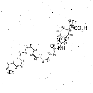 CC/C=C\C/C=C\C/C=C\C/C=C\C/C=C\C/C=C\CCC(=O)Nc1nc2c(s1)C[C@H](N(CCC)C(=O)O)CC2